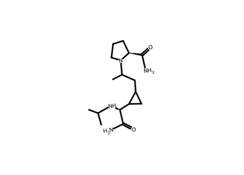 CC(C)N[C@H](C(N)=O)C1CC1CC(C)N1CCC[C@H]1C(N)=O